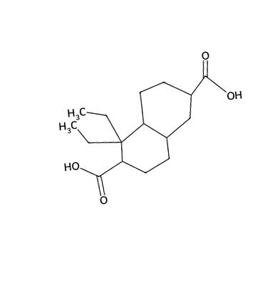 CCC1(CC)C(C(=O)O)CCC2CC(C(=O)O)CCC21